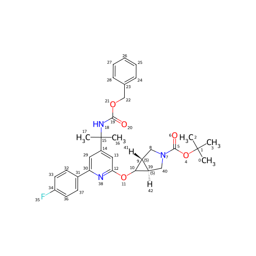 CC(C)(C)OC(=O)N1C[C@H]2C(Oc3cc(C(C)(C)NC(=O)OCc4ccccc4)cc(-c4ccc(F)cc4)n3)[C@@H]2C1